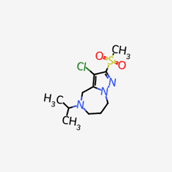 CC(C)N1CCCn2nc(S(C)(=O)=O)c(Cl)c2C1